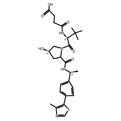 Cc1ncsc1-c1ccc([C@H](C)NC(=O)C2C[C@@H](O)CN2C(=O)[C@@H](NC(=O)CCC(=O)O)C(C)(C)C)cc1